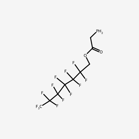 O=C(CP)OCC(F)(F)C(F)(F)C(F)(F)C(F)(F)C(F)(F)C(F)(F)F